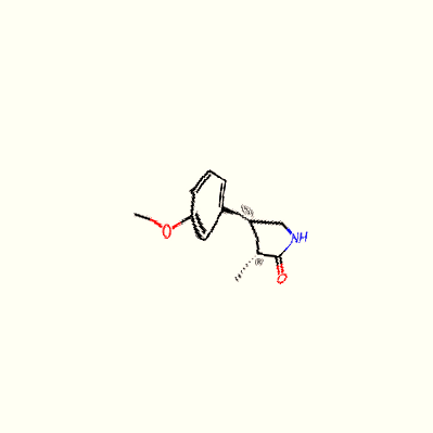 COc1cccc([C@H]2CNC(=O)[C@@H]2C)c1